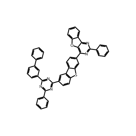 c1ccc(-c2cccc(-c3nc(-c4ccccc4)nc(-c4ccc5sc6cc(-c7nc(-c8ccccc8)nc8c7oc7ccccc78)ccc6c5c4)n3)c2)cc1